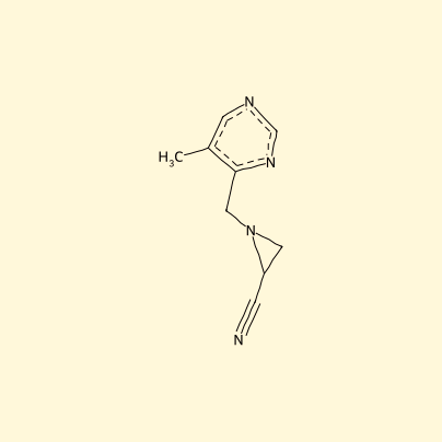 Cc1cncnc1CN1CC1C#N